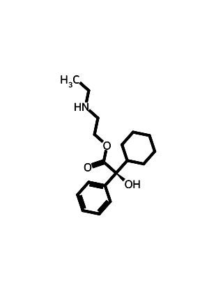 CCNCCOC(=O)[C@@](O)(c1ccccc1)C1CCCCC1